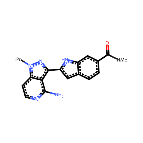 CNC(=O)c1ccc2cc(-c3nn(C(C)C)c4ccnc(N)c34)[nH]c2c1